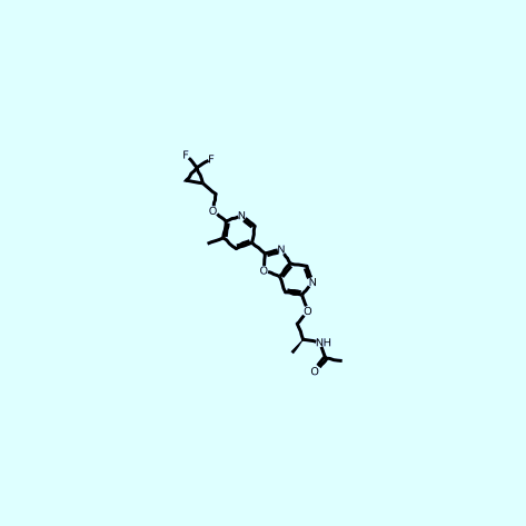 CC(=O)N[C@@H](C)COc1cc2oc(-c3cnc(OCC4CC4(F)F)c(C)c3)nc2cn1